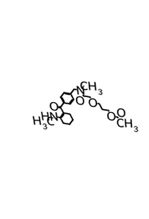 CNC1=C(C(=O)c2ccc(CN(C)C(=O)COCCCOC(C)=O)cc2)CCCC1